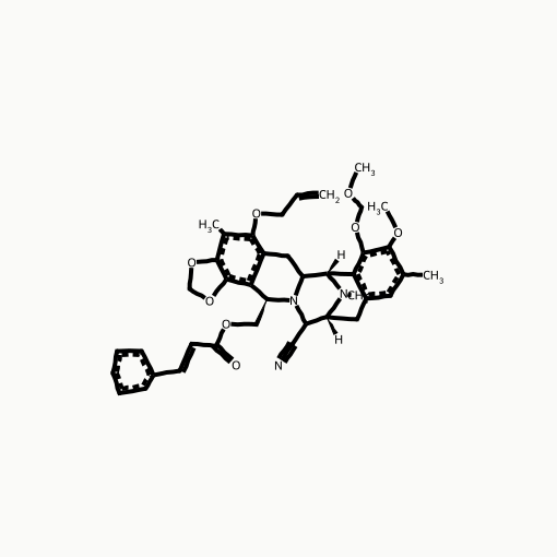 C=CCOc1c(C)c2c(c3c1CC1[C@@H]4c5c(cc(C)c(OC)c5OCOC)C[C@H](C(C#N)N1[C@H]3COC(=O)/C=C/c1ccccc1)N4C)OCO2